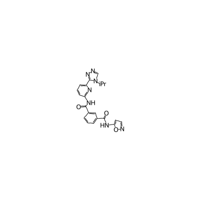 CC(C)n1cnnc1-c1cccc(NC(=O)c2cccc(C(=O)Nc3ccno3)c2)n1